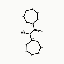 [NH]C(C(=O)N1CCCCCC1)C1CCCCCC1